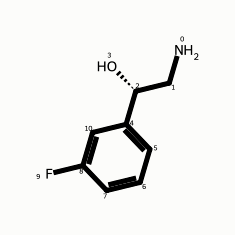 NC[C@@H](O)c1cccc(F)c1